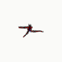 CCCCCCCCCCCC=CCCCc1ccccc1N=C(C#CCCCCCCCCCCCCCCCCCC)C(CCCC)=Nc1ccccc1CCCC=CCCCCCCCCCCC.[Ni]